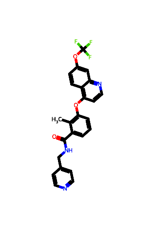 Cc1c(Oc2ccnc3cc(OC(F)(F)F)ccc23)cccc1C(=O)NCc1ccncc1